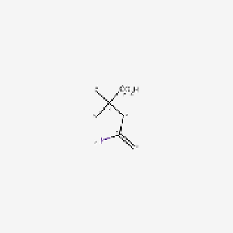 C=C(I)CC(C)(C)C(=O)O